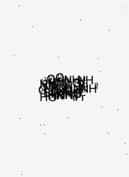 CCC(=O)NC1CCCC1C(=O)N[C@H](CC(=O)NC1CNCC1C(=O)NC1CNCC1C(=O)N[C@H](CC(=O)NC1CNCC1C(N)=O)C(C)C)Cc1ccc(O)cc1